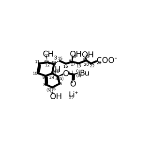 CC[C@H](C)C(=O)O[C@H]1C[C@H](O)C=C2C=C[C@H](C)[C@H](CC[C@@H](O)C[C@@H](O)CC(=O)[O-])[C@H]21.[Li+]